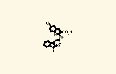 O=C(O)c1cc2cc(Cl)ccc2nc1N[C@H](CO)Cc1c[nH]c2ccccc12